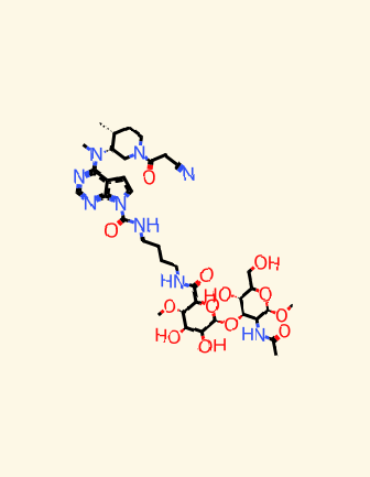 CO[C@@H]1OC(CO)[C@@H](O)[C@H](O[C@@H]2OC(C(=O)NCCCCNC(=O)n3ccc4c(N(C)[C@H]5CN(C(=O)CC#N)CC[C@H]5C)ncnc43)[C@@H](OC)[C@H](O)C2O)C1NC(C)=O